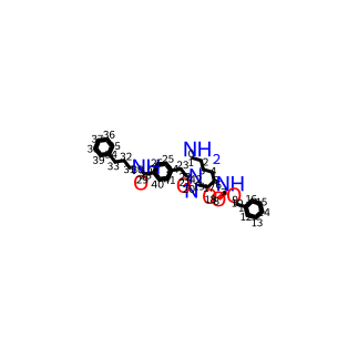 NCCCCC(NC(=O)OCc1ccccc1)C(=O)c1noc(Cc2ccc(C(=O)NCCCc3ccccc3)cc2)n1